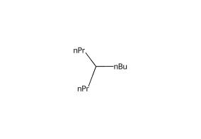 CCCCC(CCC)CCC